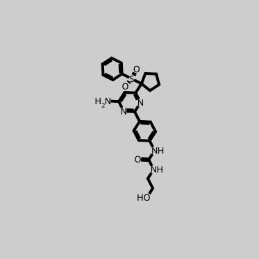 Nc1cc(C2(S(=O)(=O)c3ccccc3)CCCC2)nc(-c2ccc(NC(=O)NCCO)cc2)n1